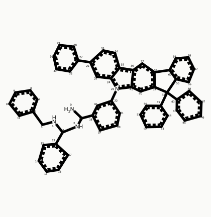 NC(NC(NCc1ccccc1)c1ccccc1)c1cccc(-n2c3cc(-c4ccccc4)ccc3c3cc4c(cc32)C(c2ccccc2)(c2ccccc2)c2ccccc2-4)c1